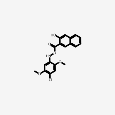 COc1cc(NOC(=O)c2cc3ccccc3cc2O)c(OC)cc1Cl